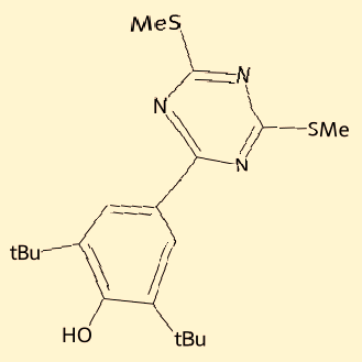 CSc1nc(SC)nc(-c2cc(C(C)(C)C)c(O)c(C(C)(C)C)c2)n1